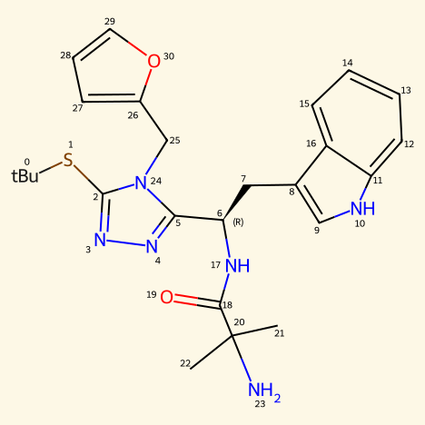 CC(C)(C)Sc1nnc([C@@H](Cc2c[nH]c3ccccc23)NC(=O)C(C)(C)N)n1Cc1ccco1